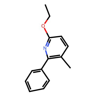 CCOc1ccc(C)c(-c2ccccc2)n1